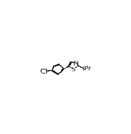 CC(C)c1ncc(-c2ccc(Cl)cc2)s1